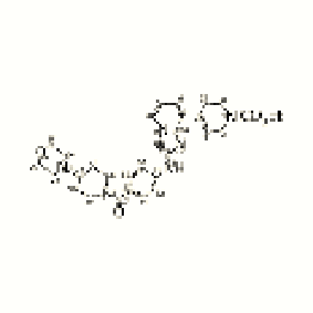 CCOC(=O)N1CC=C(c2cccn3nc(Nc4ccc(C(=O)N5CCC(N6CCOCC6)CC5)cc4)nc23)CC1